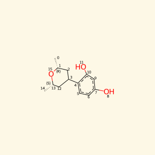 C[C@@H]1CC(c2ccc(O)cc2O)C[C@H](C)O1